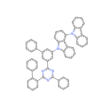 c1ccc(-c2cc(-c3nc(-c4ccccc4)nc(-c4ccccc4-c4ccccc4)n3)cc(-n3c4ccccc4c4c(-n5c6ccccc6c6ccccc65)cccc43)c2)cc1